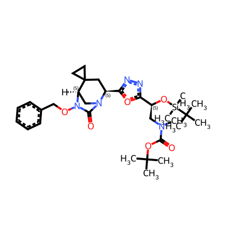 CN(C[C@H](O[Si](C)(C)C(C)(C)C)c1nnc([C@@H]2CC3(CC3)[C@H]3CN2C(=O)N3OCc2ccccc2)o1)C(=O)OC(C)(C)C